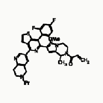 C=CC(=O)N1CCn2nc(-c3nc(-c4cnc5c(c4)CN(C(C)C)CC5)c4ccsc4c3-c3c(F)cc(F)cc3OC)cc2C1C